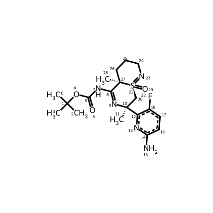 CC(C)(C)OC(=O)NC1=N[C@](C)(c2nc(N)ccc2F)C[S@]2(=O)=NCCC[C@]12C